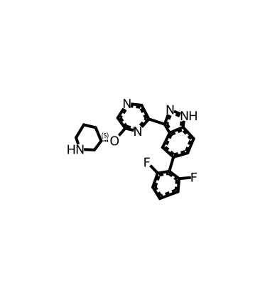 Fc1cccc(F)c1-c1ccc2[nH]nc(-c3cncc(O[C@H]4CCCNC4)n3)c2c1